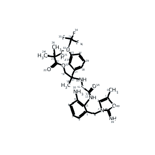 Cc1cn(Cc2cccc(N)c2NC(=O)SNC(C)(COC(=O)C(C)(C)C)c2cccc(OC(F)(F)F)c2)c(=N)o1